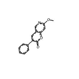 COc1cc2oc(=O)c(-c3ccccc3)cc2cn1